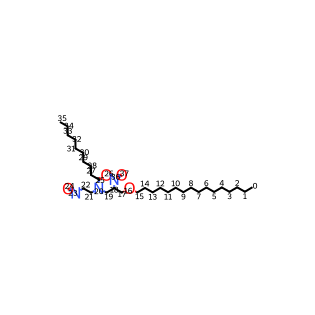 CCCCCCCCCCCCCCCCOCC(CN(CCN=O)C(=O)CCCCCCCCC)N=O